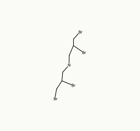 BrCC(Br)C[N]CC(Br)CBr